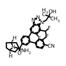 CC(C)(O)Cn1nnc2cc(-c3ccc(C(=O)N4[C@@H]5CC[C@H]4C[C@@H](N)C5)cc3-c3ccc(C#N)c(F)c3)c(F)c(C(F)F)c21